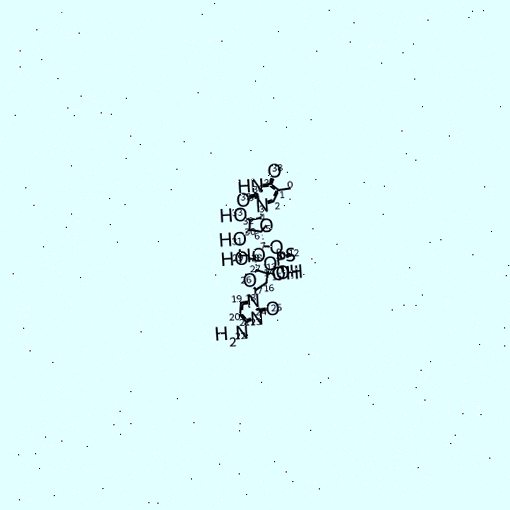 Cc1cn([C@@H]2O[C@H](C(O)OP(O)(=S)OC3(O)C[C@H](n4ccc(N)nc4=O)O[C@@H]3CO)C(O)C2O)c(=O)[nH]c1=O